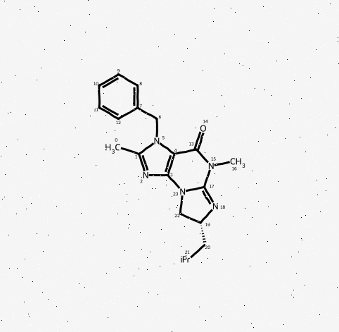 Cc1nc2c(n1Cc1ccccc1)C(=O)N(C)C1=N[C@H](CC(C)C)CN12